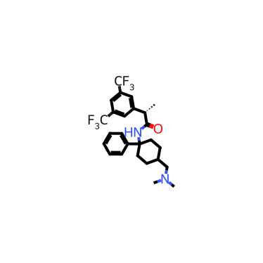 C[C@H](C(=O)NC1(c2ccccc2)CCC(CN(C)C)CC1)c1cc(C(F)(F)F)cc(C(F)(F)F)c1